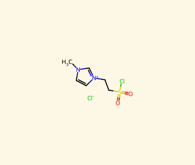 Cn1cc[n+](CCS(=O)(=O)Cl)c1.[Cl-]